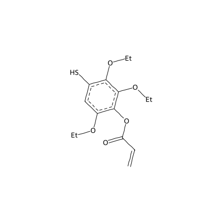 C=CC(=O)Oc1c(OCC)cc(S)c(OCC)c1OCC